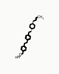 C/C=C/C[C@H]1CC[C@H](CCc2ccc(CCc3ccc(COCCC)cc3)cc2)CC1